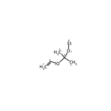 [CH2]COC(C)(C)OC=C